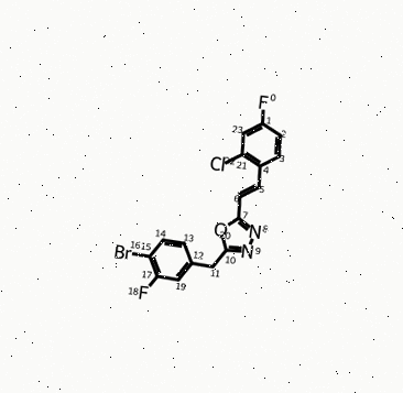 Fc1ccc(/C=C/c2nnc(Cc3ccc(Br)c(F)c3)o2)c(Cl)c1